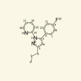 CCCc1cc(-c2ccc(F)cc2)n(-c2ccccn2)n1